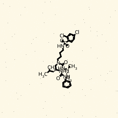 CC(C)C[C@H](CN(CCCCNS(=O)(=O)c1ccc(Cl)cc1Cl)C(=O)NN(C)C)NC(=O)Nc1ccccc1